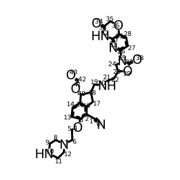 N#Cc1c(OCCN2CCNCC2)ccc2c1CC(CNCCC1CN(c3ccc4c(n3)NC(=O)CO4)C(=O)O1)C2OC=O